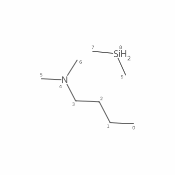 CCCCN(C)C.C[SiH2]C